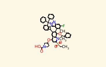 CCS(=O)(=O)c1cc(O[C@H]2CCN(C(=O)O)C2)c2cc(C3CC3)c(-c3c(C)c(F)cc4nn(C(c5ccccc5)(c5ccccc5)c5ccccc5)cc34)c(OC(C)c3ccccc3)c2n1